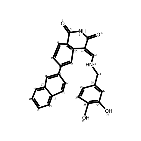 O=C1NC(=O)c2ccc(-c3ccc4ccccc4c3)cc2/C1=C\NCc1ccc(O)c(O)c1